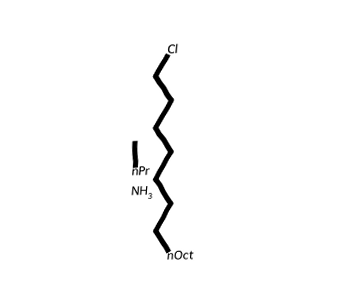 CCCC.CCCCCCCCCCCCCCCCl.N